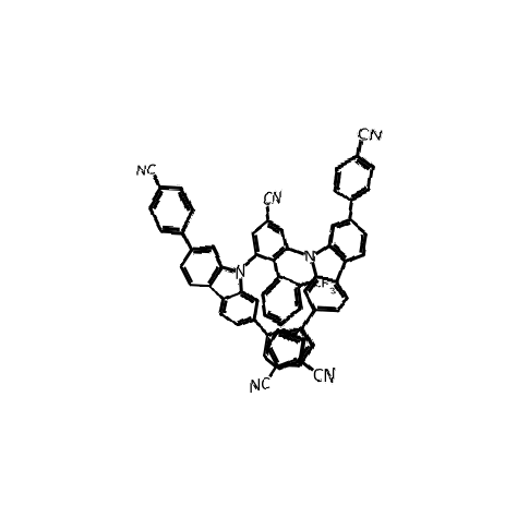 N#Cc1ccc(-c2ccc3c4ccc(-c5ccc(C#N)cc5)cc4n(-c4cc(C#N)cc(-n5c6cc(-c7ccc(C#N)cc7)ccc6c6ccc(-c7ccc(C#N)cc7)cc65)c4-c4ccccc4C(F)(F)F)c3c2)cc1